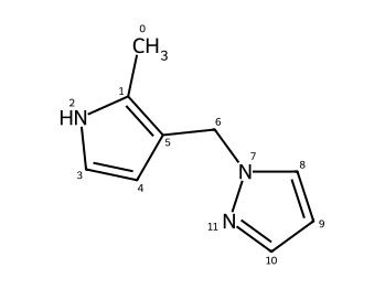 Cc1[nH]ccc1Cn1cccn1